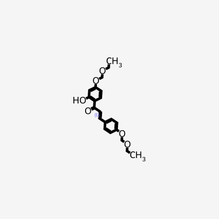 CCOCOc1ccc(/C=C/C(=O)c2ccc(OCOCC)cc2O)cc1